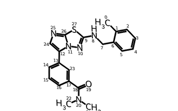 Cc1ccccc1CNc1nn2c(-c3cccc(C(=O)N(C)C)c3)cnc2s1